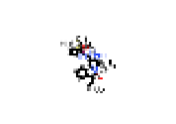 COCCC(C(=O)N1Cc2c(NC(=O)C3(S(C)(C)C)CCC3)n[nH]c2C1(C)C)c1ccccc1